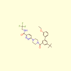 CCOc1cccc(-c2cc(C(=O)N3CCN(c4ccc(C(=O)NCC(F)(F)F)nn4)CC3)cc(C(C)(C)C)c2)c1